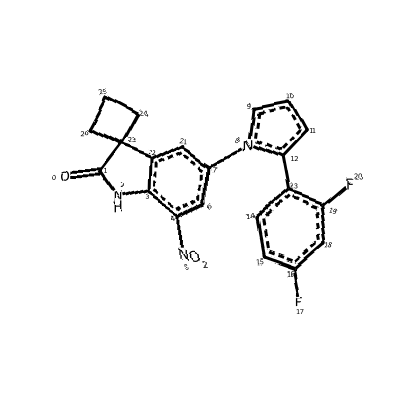 O=C1Nc2c([N+](=O)[O-])cc(-n3cccc3-c3ccc(F)cc3F)cc2C12CCC2